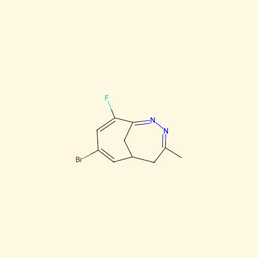 CC1=NN=C2CC(C=C(Br)C=C2F)C1